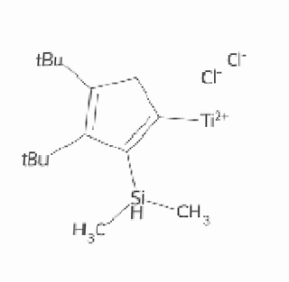 C[SiH](C)C1=[C]([Ti+2])CC(C(C)(C)C)=C1C(C)(C)C.[Cl-].[Cl-]